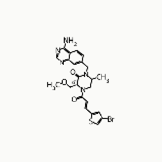 COC[C@H]1C(=O)N(Cc2ccc3c(N)ncnc3c2)C(C)CN1C(=O)C=Cc1cc(Br)cs1